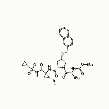 C=C[C@@H]1C[C@]1(NC(=O)[C@@H]1C[C@@H](OCc2ccc3ccccc3c2)CN1C(=O)[C@@H](NC(=O)OC(C)(C)C)C(C)(C)C)C(=O)NS(=O)(=O)C1CC1